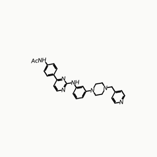 CC(=O)Nc1ccc(-c2ccnc(Nc3cccc(N4CCN(Cc5ccncc5)CC4)c3)n2)cc1